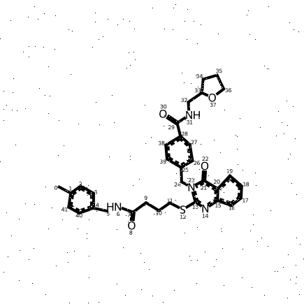 Cc1ccc(CNC(=O)CCCSc2nc3ccccc3c(=O)n2Cc2ccc(C(=O)NCC3CCCO3)cc2)cc1